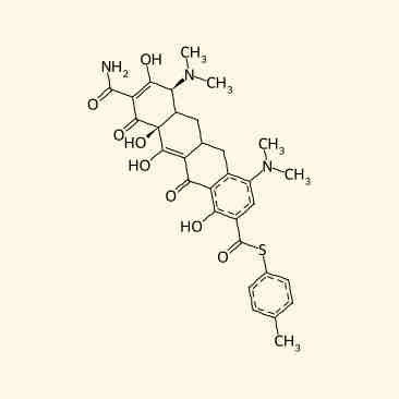 Cc1ccc(SC(=O)c2cc(N(C)C)c3c(c2O)C(=O)C2=C(O)[C@]4(O)C(=O)C(C(N)=O)=C(O)[C@@H](N(C)C)C4CC2C3)cc1